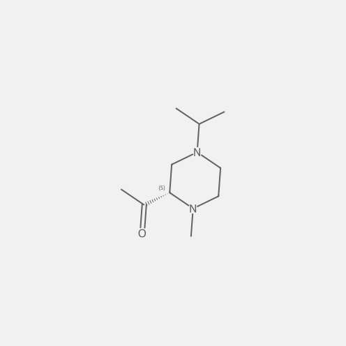 CC(=O)[C@@H]1CN(C(C)C)CCN1C